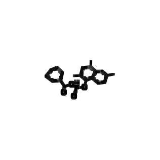 Cc1ccc2c(O[PH](=O)OC(=O)c3ccccc3)c(C)cc(C)c2c1